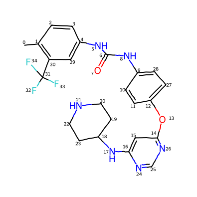 Cc1ccc(NC(=O)Nc2ccc(Oc3cc(NC4CCNCC4)ncn3)cc2)cc1C(F)(F)F